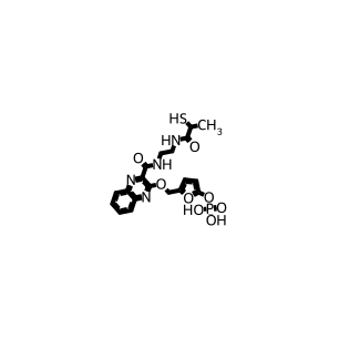 CC(S)C(=O)NCCNC(=O)c1nc2ccccc2nc1OCc1ccc(OP(=O)(O)O)o1